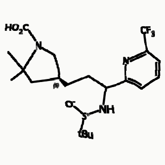 CC1(C)C[C@H](CCC(N[S+]([O-])C(C)(C)C)c2cccc(C(F)(F)F)n2)CN1C(=O)O